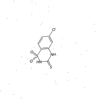 O=S1(=O)NC(=S)Nc2cc(Cl)ccc21